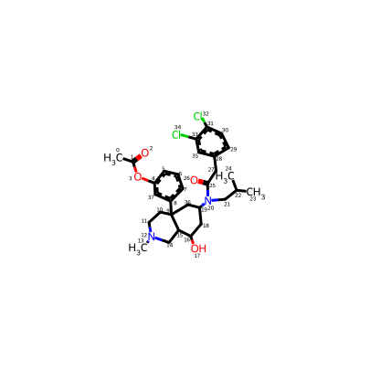 CC(=O)Oc1cccc(C23CCN(C)CC2C(O)CC(N(CC(C)C)C(=O)Cc2ccc(Cl)c(Cl)c2)C3)c1